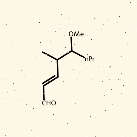 CCCC(OC)C(C)C=CC=O